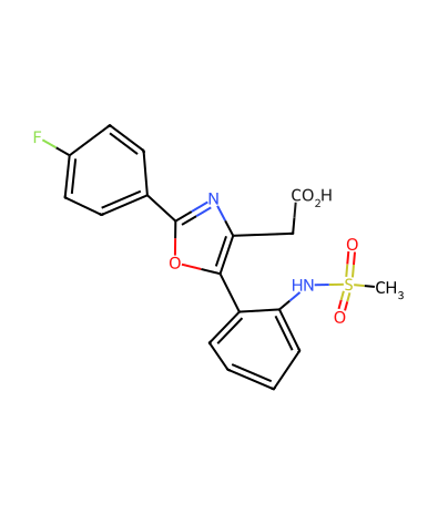 CS(=O)(=O)Nc1ccccc1-c1oc(-c2ccc(F)cc2)nc1CC(=O)O